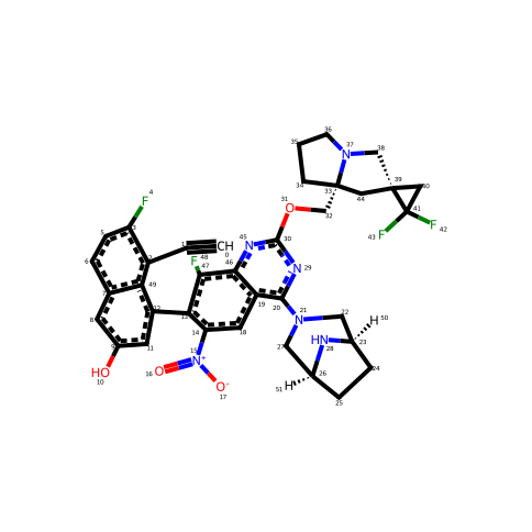 C#Cc1c(F)ccc2cc(O)cc(-c3c([N+](=O)[O-])cc4c(N5C[C@H]6CC[C@@H](C5)N6)nc(OC[C@]56CCCN5C[C@@]5(CC5(F)F)C6)nc4c3F)c12